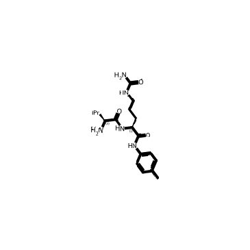 Cc1ccc(NC(=O)[C@H](CCCNC(N)=O)NC(=O)[C@@H](N)C(C)C)cc1